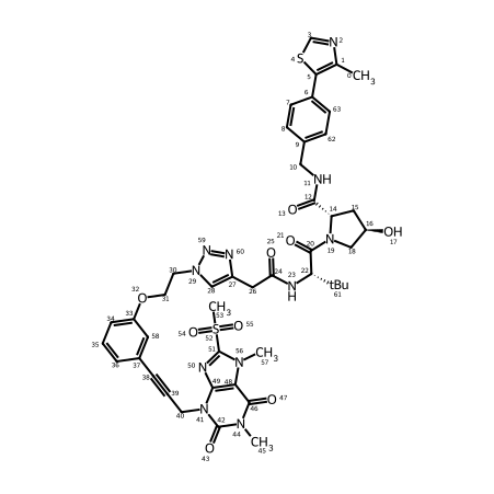 Cc1ncsc1-c1ccc(CNC(=O)[C@@H]2C[C@@H](O)CN2C(=O)[C@@H](NC(=O)Cc2cn(CCOc3cccc(C#CCn4c(=O)n(C)c(=O)c5c4nc(S(C)(=O)=O)n5C)c3)nn2)C(C)(C)C)cc1